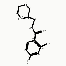 O=C(NCC1COCCN1)c1ccc(F)cc1F